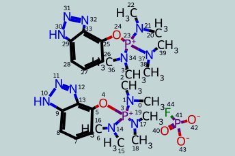 CN(C)[P+](Oc1cccc2[nH]nnc12)(N(C)C)N(C)C.CN(C)[P+](Oc1cccc2[nH]nnc12)(N(C)C)N(C)C.O=P([O-])([O-])F